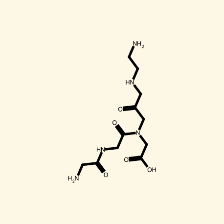 NCCNCC(=O)CN(CC(=O)O)C(=O)CNC(=O)CN